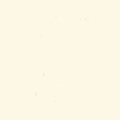 O=C(O)c1ccc(OC(F)(F)F)c(Cl)c1Br